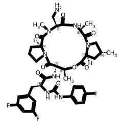 C[C@@H]1C[C@H]2C(=O)O[C@@H](C)[C@H](NC(=O)[C@H](Cc3cc(F)cc(F)c3)NC(=O)Nc3ccc(I)cc3)C(=O)N3CCC[C@H]3C(=O)N(C)[C@@H](CN)C(=O)N[C@@H](C)C(=O)N2C1